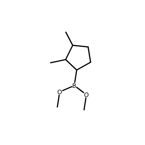 COB(OC)C1CCC(C)C1C